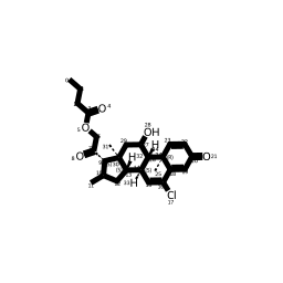 CCCC(=O)OCC(=O)[C@H]1C(C)C[C@H]2[C@@H]3C=C(Cl)C4=CC(=O)C=C[C@]4(C)[C@H]3C(O)C[C@]12C